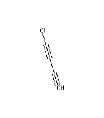 C#CC#CCl